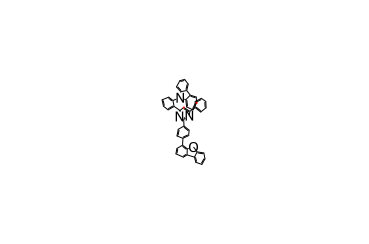 c1ccc(-c2cc(-c3ccccc3-n3c4ccccc4c4ccccc43)nc(-c3ccc(-c4cccc5c4oc4ccccc45)cc3)n2)cc1